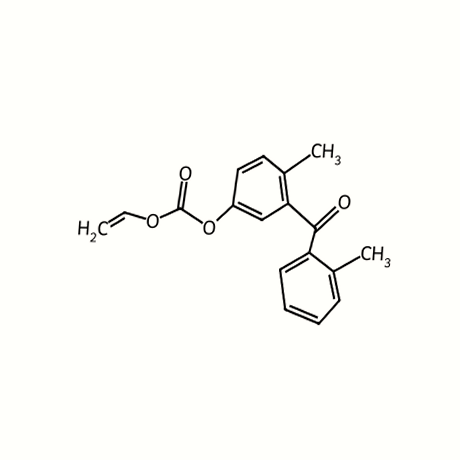 C=COC(=O)Oc1ccc(C)c(C(=O)c2ccccc2C)c1